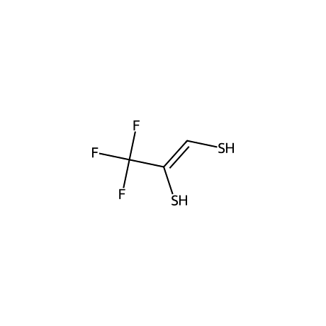 FC(F)(F)C(S)=CS